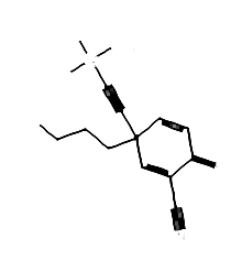 CCCCC1(C#C[Si](C)(C)C)C=CC(=O)C(C#N)=C1